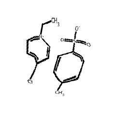 CC[n+]1ccc(Cl)cc1.Cc1ccc(S(=O)(=O)[O-])cc1